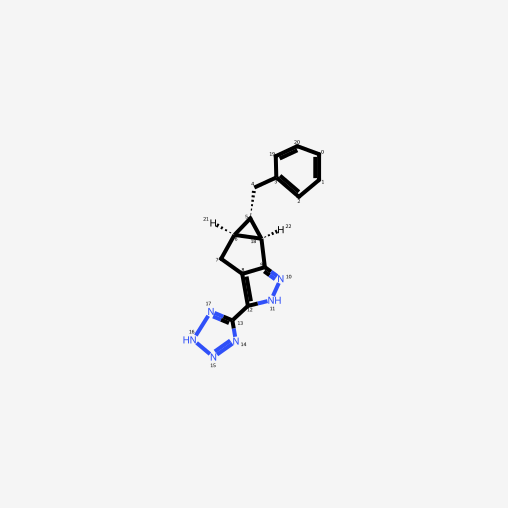 c1ccc(C[C@H]2[C@@H]3Cc4c(n[nH]c4-c4nn[nH]n4)[C@H]23)cc1